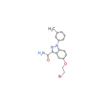 Cc1cccc(-n2nc(C(N)=O)c3cc(OCCBr)ccc32)c1